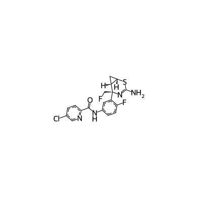 NC1=N[C@](CF)(c2cc(NC(=O)c3ccc(Cl)cn3)ccc2F)[C@@H]2C[C@@H]2S1